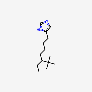 CCC(CCCCc1cnc[nH]1)C(C)(C)C